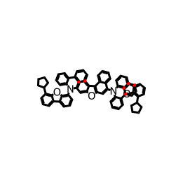 c1ccc(-c2ccccc2N(c2ccc3c(c2)oc2cc(N(c4ccccc4-c4ccccc4)c4cccc5c4oc4c(C6CCCC6)cccc45)c4ccccc4c23)c2cccc3c2oc2c(C4CCCC4)cccc23)cc1